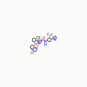 O=C(Nc1ccc(-n2cccn2)c(C(F)F)c1)c1cnn(-c2ccccc2C(=O)c2cccn3c(=O)ccnc23)c1C(F)(F)F